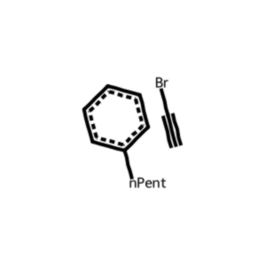 C#CBr.CCCCCc1ccccc1